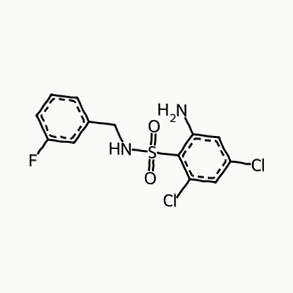 Nc1cc(Cl)cc(Cl)c1S(=O)(=O)NCc1cccc(F)c1